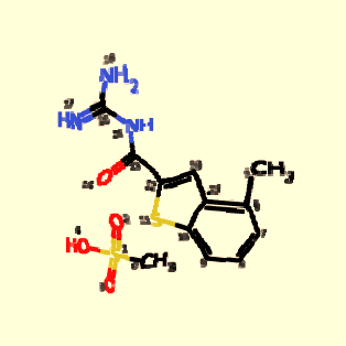 CS(=O)(=O)O.Cc1cccc2sc(C(=O)NC(=N)N)cc12